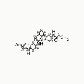 C=CC(=O)Nc1cccc(-c2cccc3cnc(Nc4ccc(NC5CN(C(C)=O)C5)cc4)nc23)c1